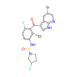 CCc1c(N[S+]([O-])N2CCC(F)C2)ccc(F)c1C(=O)c1c[nH]c2ncc(Br)cc12